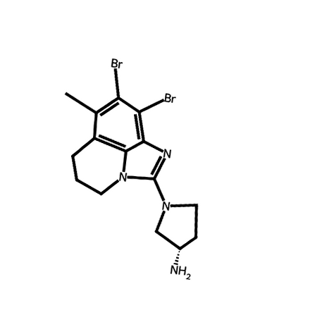 Cc1c(Br)c(Br)c2nc(N3CC[C@H](N)C3)n3c2c1CCC3